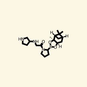 CC1(C)[C@@H]2C[C@H]3OB(C4CCCN4C(=O)CNC4CCNC4)O[C@@]3(C)[C@H]1C2